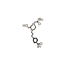 CC(C)C(=O)c1ccc(CCCN2CCN(CC(=O)C(C)(C)C)C[C@@H]2CO)cc1